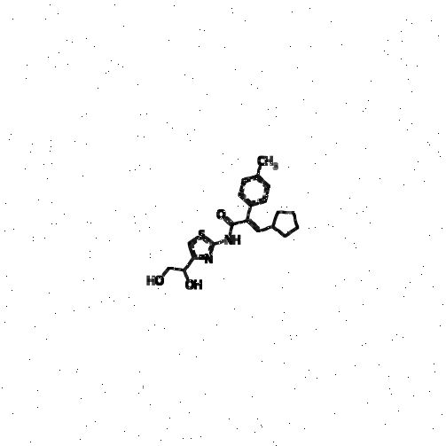 Cc1ccc(/C(=C\C2CCCC2)C(=O)Nc2nc(C(O)CO)cs2)cc1